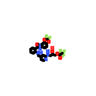 O=C(Nc1ccc2c(c1)OC(F)(F)O2)c1ccccc1NCc1ccnc(NCC(O)COC(=O)C(F)(F)F)c1